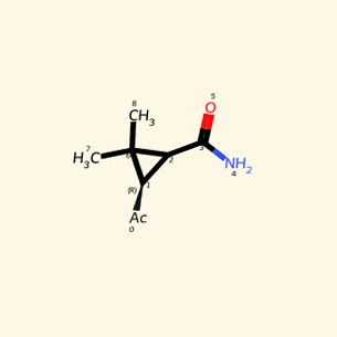 CC(=O)[C@@H]1C(C(N)=O)C1(C)C